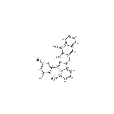 CC(C)n1c(Cn2nc(-c3cc(O)cc(F)c3)c3c(N)ncnc32)cc2ccccc2c1=O